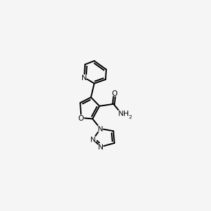 NC(=O)c1c(-c2ccccn2)coc1-n1ccnn1